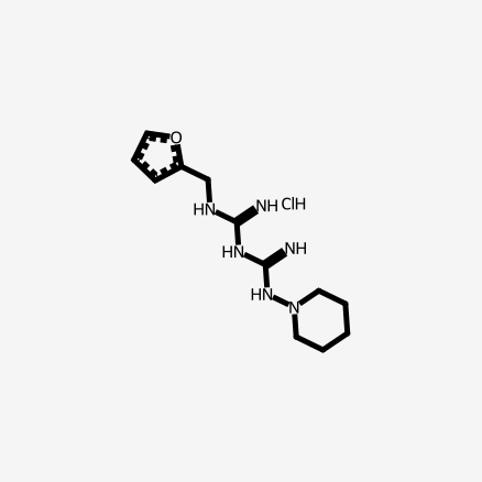 Cl.N=C(NCc1ccco1)NC(=N)NN1CCCCC1